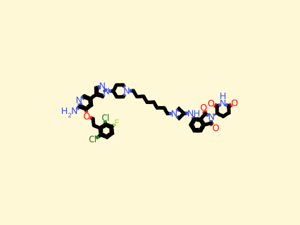 Nc1ncc(-c2cnn(C3CCN(CCCCCCCCN4CC(Nc5cccc6c5C(=O)N([C@@H]5CCC(=O)NC5=O)C6=O)C4)CC3)c2)cc1OCCc1c(Cl)ccc(F)c1Cl